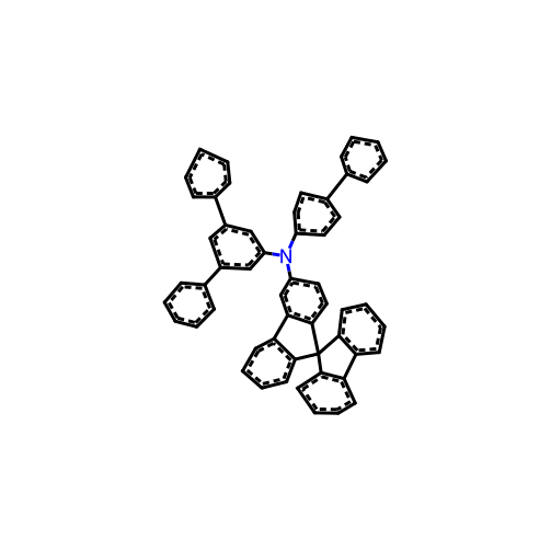 c1ccc(-c2ccc(N(c3cc(-c4ccccc4)cc(-c4ccccc4)c3)c3ccc4c(c3)-c3ccccc3C43c4ccccc4-c4ccccc43)cc2)cc1